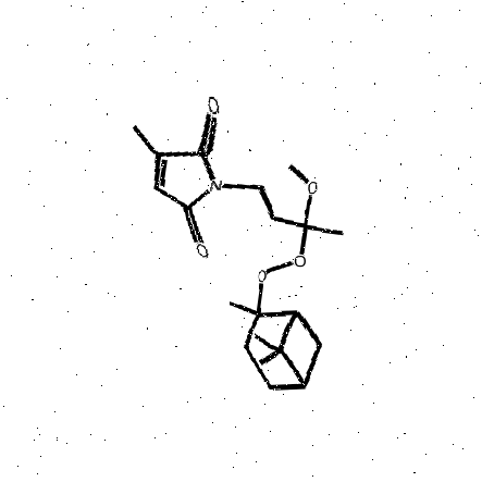 COC(C)(CCN1C(=O)C=C(C)C1=O)OOC1(C)CCC2CC1C2(C)C